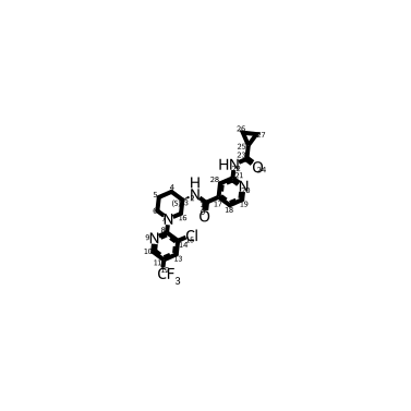 O=C(N[C@H]1CCCN(c2ncc(C(F)(F)F)cc2Cl)C1)c1ccnc(NC(=O)C2CC2)c1